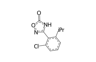 CC(C)c1cccc(Cl)c1-c1noc(=O)[nH]1